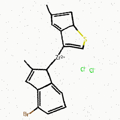 CC1=CC2SC=[C]([Zr+2][CH]3C(C)=Cc4c(Br)cccc43)C2=C1.[Cl-].[Cl-]